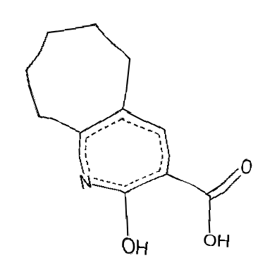 O=C(O)c1cc2c(nc1O)CCCCC2